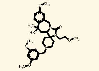 COCCN1C(=O)N2Cc3cc(OC)ccc3C(C)(C)C=C2C12CCN(Cc1cc(OC)cc(OC)c1)CC2